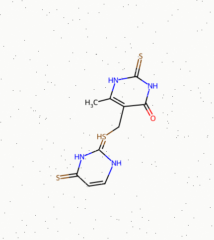 Cc1[nH]c(=S)[nH]c(=O)c1C/[SH]=c1\[nH]ccc(=S)[nH]1